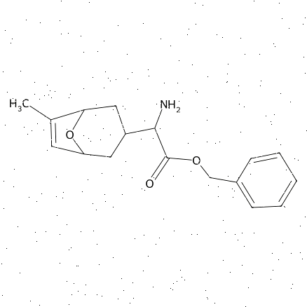 CC1=CC2CC(C(N)C(=O)OCc3ccccc3)CC1O2